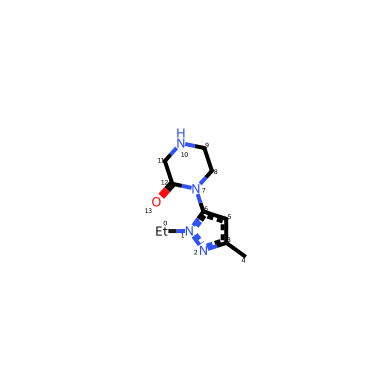 CCn1nc(C)cc1N1CCNCC1=O